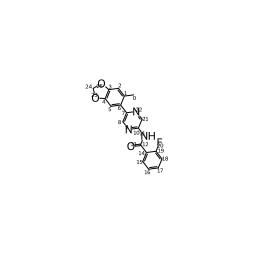 Cc1cc2c(cc1-c1cnc(NC(=O)c3ccccc3F)cn1)OCO2